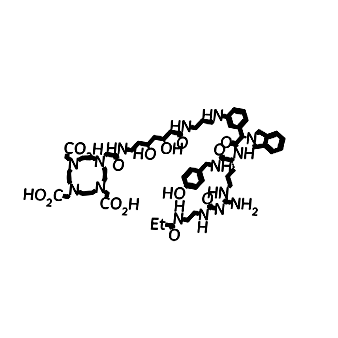 CCC(=O)NCCNC(=O)/N=C(/N)NCCC[C@@H](NC(=O)[C@H](c1cccc(NCCCNC(=O)C[C@H](O)C[C@H](O)CCNC(=O)CN2CCN(CC(=O)O)CCN(CC(=O)O)CCN(CC(=O)O)CC2)c1)N1Cc2ccccc2C1)C(=O)NCc1ccc(O)cc1